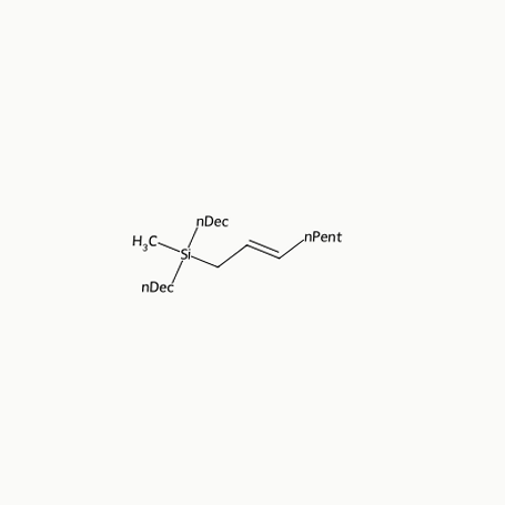 CCCCCC=CC[Si](C)(CCCCCCCCCC)CCCCCCCCCC